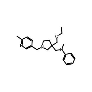 CCOCC1(CN(C)c2ccccc2)CCN(Cc2ccc(C)nc2)C1